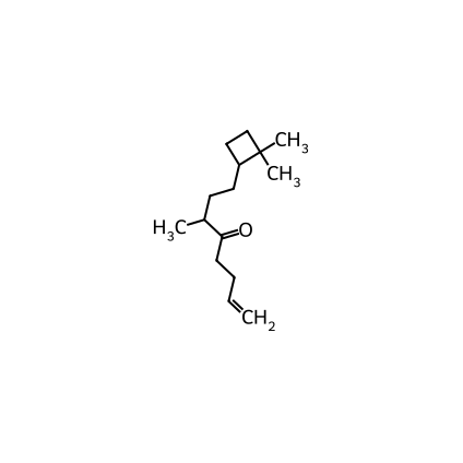 C=CCCC(=O)C(C)CCC1CCC1(C)C